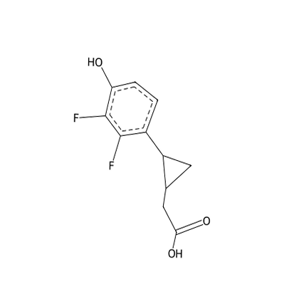 O=C(O)CC1CC1c1ccc(O)c(F)c1F